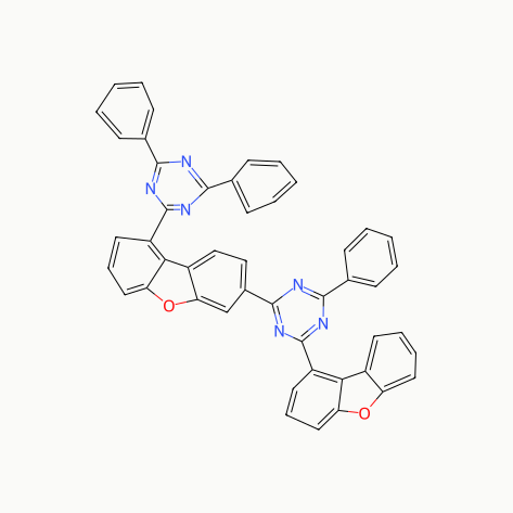 c1ccc(-c2nc(-c3ccc4c(c3)oc3cccc(-c5nc(-c6ccccc6)nc(-c6ccccc6)n5)c34)nc(-c3cccc4oc5ccccc5c34)n2)cc1